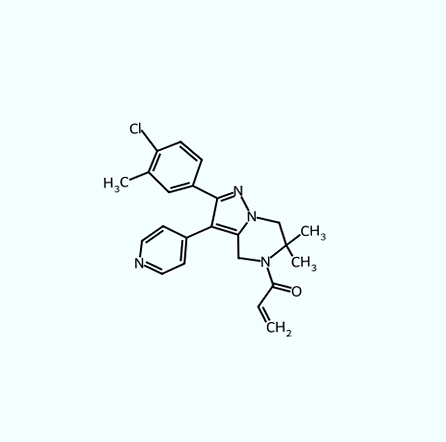 C=CC(=O)N1Cc2c(-c3ccncc3)c(-c3ccc(Cl)c(C)c3)nn2CC1(C)C